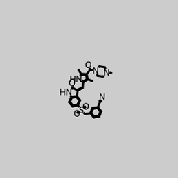 Cc1[nH]c(/C=C2\C(=O)Nc3ccc(S(=O)(=O)Cc4cccc(C#N)c4)cc32)c(C)c1C(=O)N1CCN(C)CC1